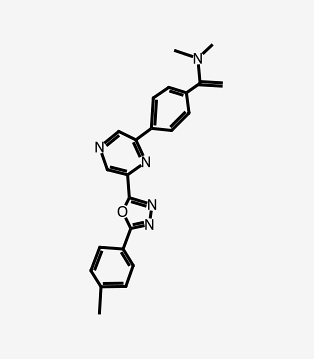 C=C(c1ccc(-c2cncc(-c3nnc(-c4ccc(C)cc4)o3)n2)cc1)N(C)C